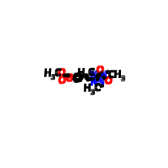 CCn1c(=O)c2c(nc(/C=C/c3ccc(OCC(=O)OC)cc3)n2C)n(CC)c1=O